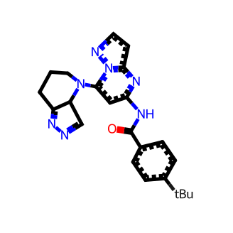 CC(C)(C)c1ccc(C(=O)Nc2cc(N3CCCC4=NN=CC43)n3nccc3n2)cc1